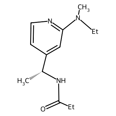 CCC(=O)N[C@H](C)c1ccnc(N(C)CC)c1